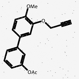 C#CCOc1cc(-c2cccc(OC(C)=O)c2)ccc1OC